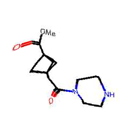 COC(=O)C12CC(C(=O)N3CCNCC3)(C1)C2